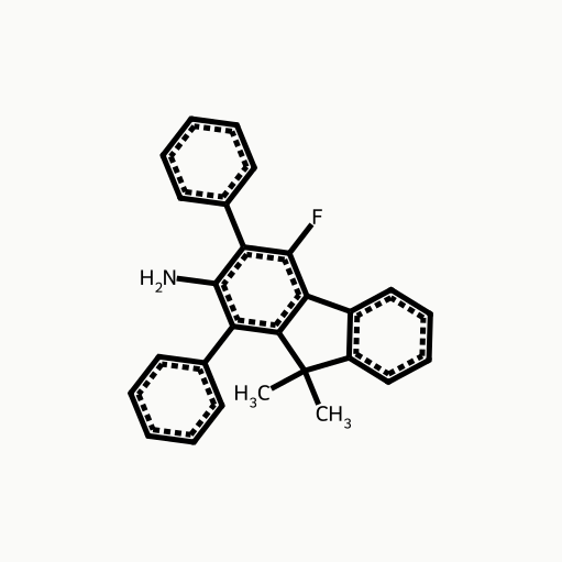 CC1(C)c2ccccc2-c2c(F)c(-c3ccccc3)c(N)c(-c3ccccc3)c21